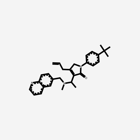 C=CCC1=C(C(C)N(C)Cc2ccc3ncccc3c2)C(=O)N(c2ccc(C(C)(C)C)cc2)C1